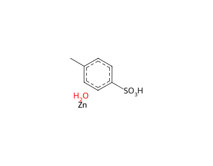 Cc1ccc(S(=O)(=O)O)cc1.O.[Zn]